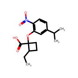 CCC1CCC1(Oc1cc(C(C)C)ccc1[N+](=O)[O-])C(=O)O